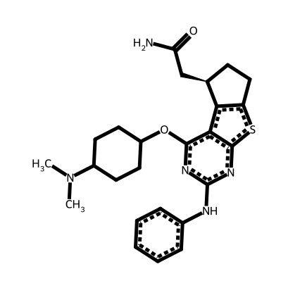 CN(C)C1CCC(Oc2nc(Nc3ccccc3)nc3sc4c(c23)[C@@H](CC(N)=O)CC4)CC1